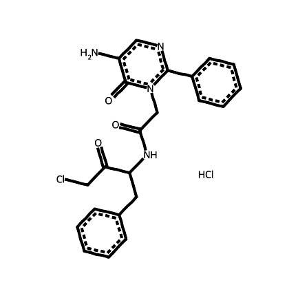 Cl.Nc1cnc(-c2ccccc2)n(CC(=O)NC(Cc2ccccc2)C(=O)CCl)c1=O